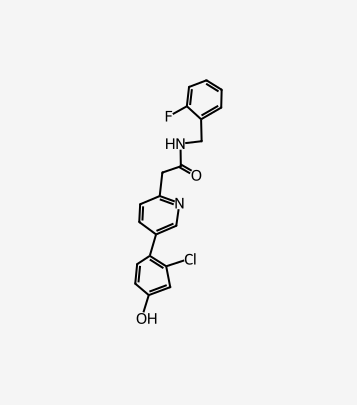 O=C(Cc1ccc(-c2ccc(O)cc2Cl)cn1)NCc1ccccc1F